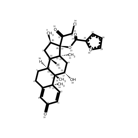 C[C@@H]1C[C@H]2[C@@H]3CCC4=CC(=O)C=C[C@]4(C)[C@@]3(C)[C@@H](O)C[C@]2(C)[C@@]1(OC(=O)c1ccco1)C(=O)CCl